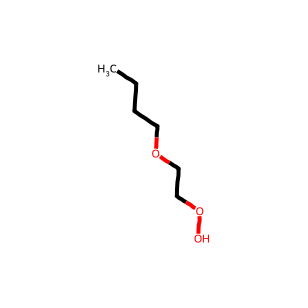 CCCCOCCOO